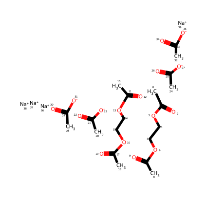 CC(=O)OCCOC(C)=O.CC(=O)OCCOC(C)=O.CC(=O)[O-].CC(=O)[O-].CC(=O)[O-].CC(=O)[O-].[Na+].[Na+].[Na+].[Na+]